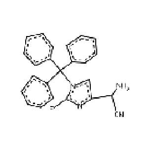 N#CC(N)c1cn(C(c2ccccc2)(c2ccccc2)c2ccccc2)c(F)n1